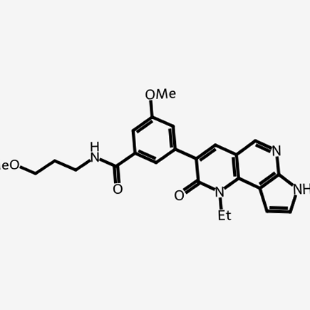 CCn1c(=O)c(-c2cc(OC)cc(C(=O)NCCCOC)c2)cc2cnc3[nH]ccc3c21